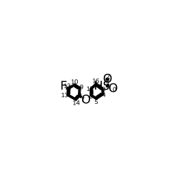 O=[SH](=O)c1ccc(Oc2ccc(F)cc2)cc1